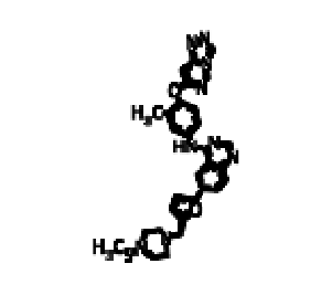 CSN1CCN(Cc2ccc(-c3ccc4ncnc(Nc5ccc(Oc6cc7nncn7cn6)c(C)c5)c4c3)o2)CC1